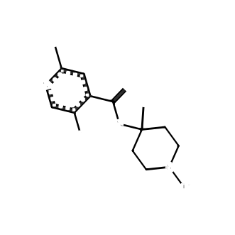 Cc1cc(C(=O)NC2(C)CCN(C(C)C)CC2)c(Cl)cn1